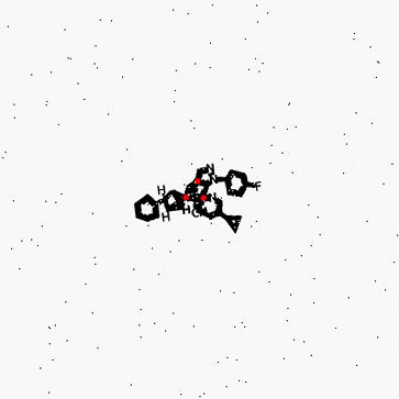 Cc1cc2c(cnn2-c2ccc(F)cc2)cc1[C@H]1C2[C@H](c3ccccc3)[C@H]1CN2C(=O)c1ccc(C2CC2)cn1